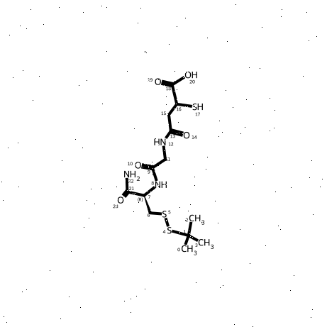 CC(C)(C)SSC[C@H](NC(=O)CNC(=O)CC(S)C(=O)O)C(N)=O